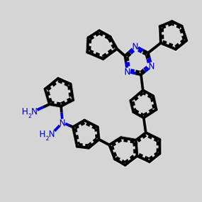 Nc1ccccc1N(N)c1ccc(-c2ccc3cccc(-c4ccc(-c5nc(-c6ccccc6)nc(-c6ccccc6)n5)cc4)c3c2)cc1